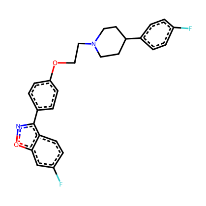 Fc1ccc(C2CCN(CCOc3ccc(-c4noc5cc(F)ccc45)cc3)CC2)cc1